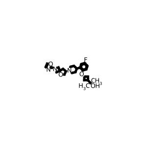 CC(C)(O)C1CC(Oc2ccc(F)cc2C2CCN([C@@H]3COC4(C3)CN(c3ncco3)C4)CC2)C1